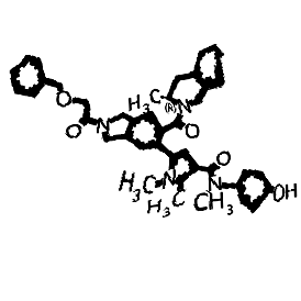 Cc1c(C(=O)N(C)c2ccc(O)cc2)cc(-c2cc3c(cc2C(=O)N2Cc4ccccc4C[C@H]2C)CN(C(=O)COCc2ccccc2)C3)n1C